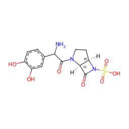 NC(C(=O)N1CC[C@@H]2[C@H]1C(=O)N2S(=O)(=O)O)c1ccc(O)c(O)c1